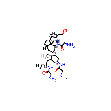 C[C@H](CCCO)[C@H]1CC[C@H]2C[C@@H](C3(C)CC[C@@H](NC(=O)CN)CC3C[C@H](C)NC(=O)CN)C[C@H](NC(=O)CN)C21C